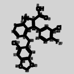 O=C(O)c1[nH]c2cccc(Cc3cc4c(cc3Cl)OCO4)c2c1-c1ccc(F)c(Cl)c1